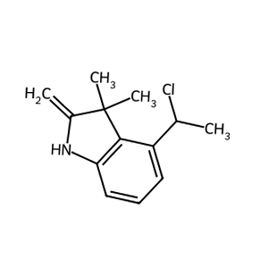 C=C1Nc2cccc(C(C)Cl)c2C1(C)C